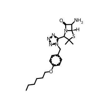 CCCCCCOc1ccc(Cn2nnnc2C2N3C(=O)C(N)[C@@H]3SC2(C)C)cc1